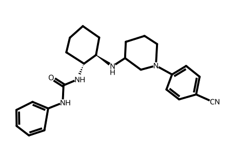 N#Cc1ccc(N2CCCC(N[C@@H]3CCCC[C@H]3NC(=O)Nc3ccccc3)C2)cc1